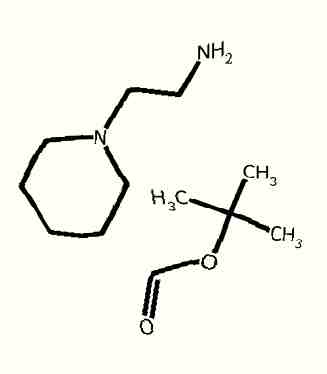 CC(C)(C)OC=O.NCCN1CCCCC1